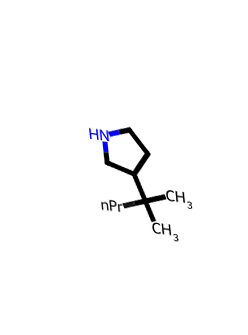 CCCC(C)(C)C1CCNC1